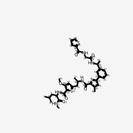 CNC(=O)C(CC(C)C)NC(=O)c1sc(CC(C)NC(=O)c2sc(-c3cccc(C(C)NC(=O)CNC(=O)c4cccs4)c3)cc2C)cc1OC